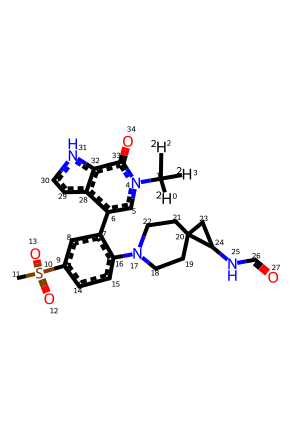 [2H]C([2H])([2H])n1cc(-c2cc(S(C)(=O)=O)ccc2N2CCC3(CC2)CC3NC=O)c2cc[nH]c2c1=O